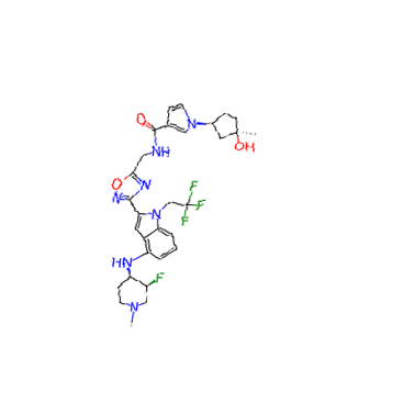 CN1CC[C@@H](Nc2cccc3c2cc(-c2noc(CNC(=O)c4ccn([C@H]5CC[C@@](C)(O)C5)c4)n2)n3CC(F)(F)F)[C@@H](F)C1